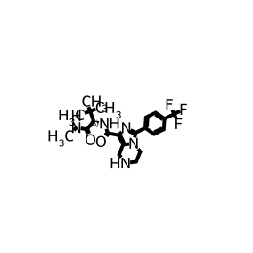 CNC(=O)[C@@H](NC(=O)c1nc(-c2ccc(C(F)(F)F)cc2)n2c1CNCC2)C(C)(C)C